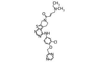 CCN(C)CC=CC(=O)N1CCc2c(sc3ncnc(Nc4ccc(OCc5cnccn5)c(Cl)c4)c23)C1